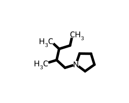 CCC(C)C(C)CN1CCCC1